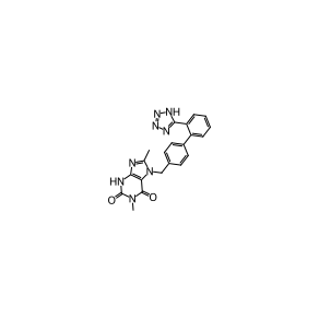 Cc1nc2[nH]c(=O)n(C)c(=O)c2n1Cc1ccc(-c2ccccc2-c2nnn[nH]2)cc1